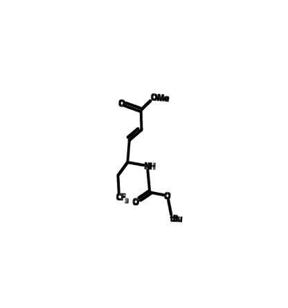 COC(=O)/C=C/C(CC(F)(F)F)NC(=O)OC(C)(C)C